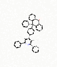 N#Cc1c(-c2ccccc2)nc(-c2ccccc2)c(C#N)c1-c1ccc(C2(c3ccccc3)c3ccccc3C(=O)c3ccccc32)cc1